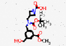 COC(=O)c1cc(CO)cc(CN(CC2CN(C(=O)O)C2)C(=O)OC(C)(C)C)c1